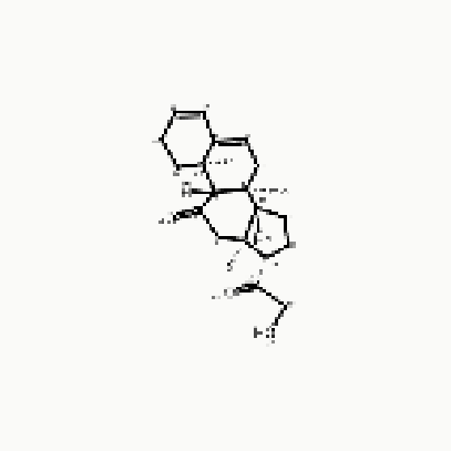 C[C@]12CC(=O)[C@H]3[C@@H](CC=C4C=CCC[C@@]43C)[C@@H]1CC[C@@H]2C(=O)CO